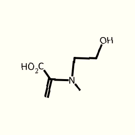 C=C(C(=O)O)N(C)CCO